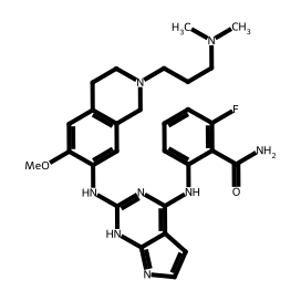 COc1cc2c(cc1Nc1nc(Nc3cccc(F)c3C(N)=O)c3ccnc-3[nH]1)CN(CCCN(C)C)CC2